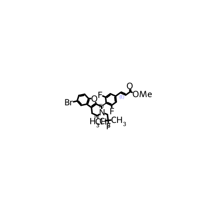 COC(=O)/C=C/c1cc(F)c([C@@H]2c3oc4ccc(Br)cc4c3C[C@@H](C)N2CC(C)(C)F)c(F)c1